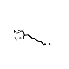 C=CCCCCCC(OC)OC